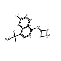 CC(C)(N)c1cnc(OC2CNC2)c2cnc(Cl)cc12